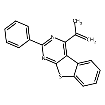 C=C(C)c1nc(-c2ccccc2)nc2sc3ccccc3c12